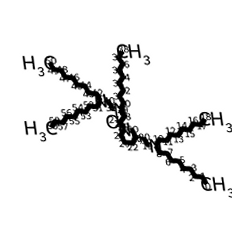 CCCCCCCCCN(CCCCCCCCC)CC[C@H]1CCCN(C(=O)CN(CCCCCCCCC)CCN(CCCCCCCCC)CCCCCCCCC)C1